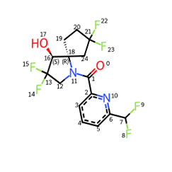 O=C(c1cccc(C(F)F)n1)N1CC(F)(F)[C@@H](O)[C@]12CCC(F)(F)C2